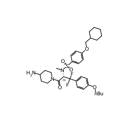 CCCCOc1ccc(C(F)(F)[C@H](C(=O)N2CCC(N)CC2)N(C)S(=O)(=O)c2ccc(OCC3CCCCC3)cc2)cc1